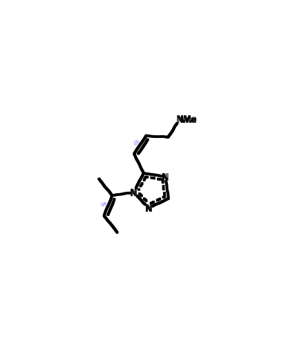 C/C=C(/C)n1ncnc1/C=C\CNC